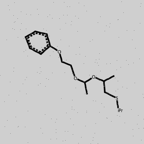 CC(CSC(C)C)OC(C)OCCOc1ccccc1